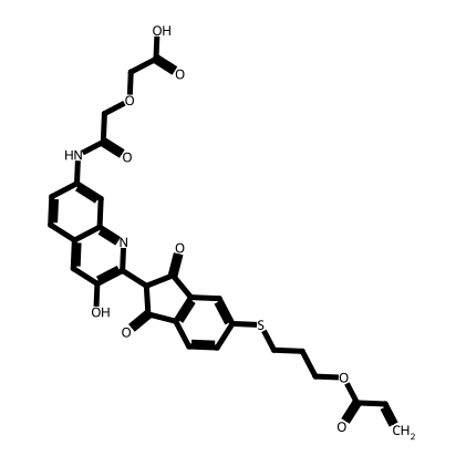 C=CC(=O)OCCCSc1ccc2c(c1)C(=O)C(c1nc3cc(NC(=O)COCC(=O)O)ccc3cc1O)C2=O